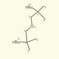 CCCCC(C)(C)COCC(C)(C)CCCC